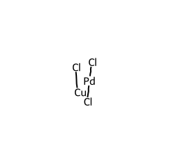 [Cl][Cu].[Cl][Pd][Cl]